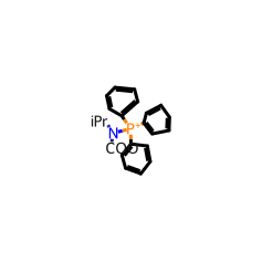 CC(C)N(C(=O)[O-])[P+](c1ccccc1)(c1ccccc1)c1ccccc1